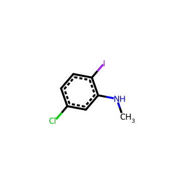 CNc1cc(Cl)ccc1I